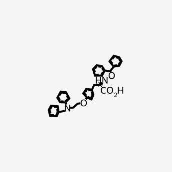 O=C(c1ccccc1)c1ccccc1N[C@@H](Cc1ccc(OCCN(Cc2ccccc2)c2ccccc2)cc1)C(=O)O